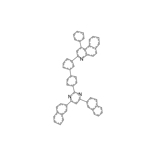 c1ccc(-c2cc(-c3cccc(-c4ccc(-c5nc(-c6ccc7ccccc7c6)cc(-c6ccc7ccccc7c6)n5)cc4)c3)nc3ccc4ccccc4c23)cc1